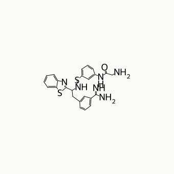 N=C(N)c1cccc(CC(NSc2cccc(NC(=O)CN)c2)c2nc3ccccc3s2)c1